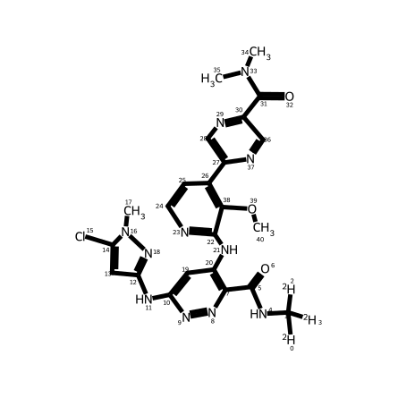 [2H]C([2H])([2H])NC(=O)c1nnc(Nc2cc(Cl)n(C)n2)cc1Nc1nccc(-c2cnc(C(=O)N(C)C)cn2)c1OC